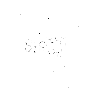 N=C(NO)c1ccc(Oc2ccc(NS(=O)(=O)c3cccc4cccnc34)c(Oc3ccc(C(=N)NO)cc3)n2)cc1